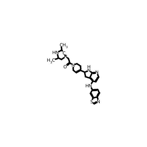 CC1CN(CC(=O)N2CC=C(C3Cc4c(Nc5ccc6ncsc6c5)ccnc4N3)CC2)CC(C)N1